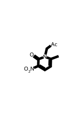 CC(=O)Cn1c(C)ccc([N+](=O)[O-])c1=O